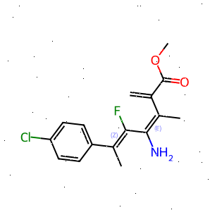 C=C(C(=O)OC)/C(C)=C(N)\C(F)=C(/C)c1ccc(Cl)cc1